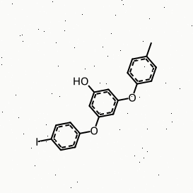 Cc1ccc(Oc2cc(O)cc(Oc3ccc(I)cc3)c2)cc1